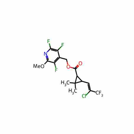 COc1nc(F)c(F)c(COC(=O)C2C(/C=C(\Cl)C(F)(F)F)C2(C)C)c1F